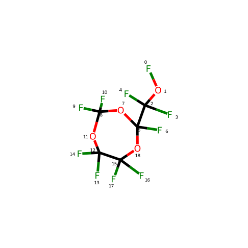 FOC(F)(F)C1(F)OC(F)(F)OC(F)(F)C(F)(F)O1